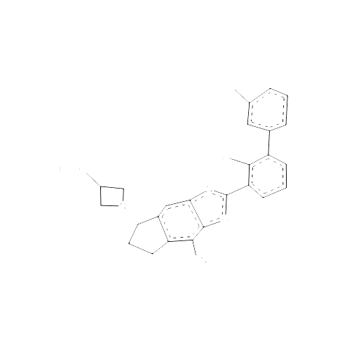 N#Cc1c2c(cc3nc(-c4cccc(-c5cccc(F)c5)c4Cl)oc13)[C@@H](N1CC(C(=O)O)C1)CC2